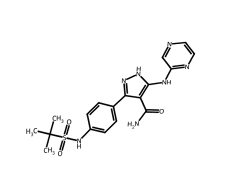 CC(C)(C)S(=O)(=O)Nc1ccc(-c2n[nH]c(Nc3cnccn3)c2C(N)=O)cc1